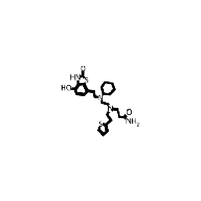 NC(=O)CCN(CCc1cccs1)CCN(CCc1ccc(O)c2[nH]c(=O)sc12)C1CCCCC1